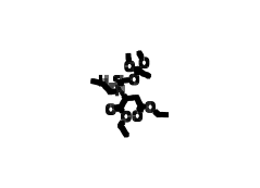 CCCN([SiH2]OC(C)(OC)OC)C(CC(=O)OCC)C(=O)OCC